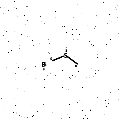 CSC.[B]